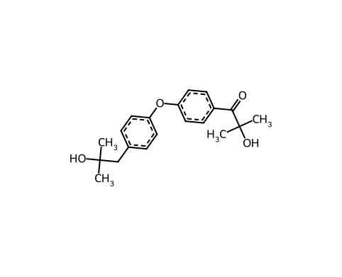 CC(C)(O)Cc1ccc(Oc2ccc(C(=O)C(C)(C)O)cc2)cc1